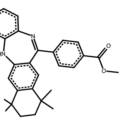 COC(=O)c1ccc(C2=Nc3ccccc3Nc3cc4c(cc32)C(C)(C)CCC4(C)C)cc1